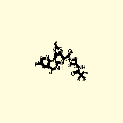 Cc1nc2nc(N[C@@H](C)c3cncc(F)c3)nc(C(=O)N3CC(NC(=O)C(C)(C)C)C3)c2s1